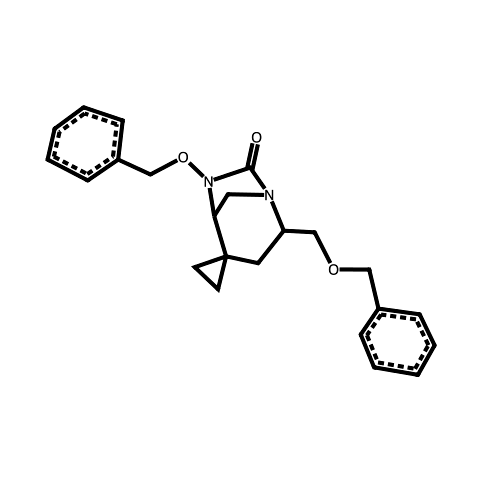 O=C1N2CC(N1OCc1ccccc1)C1(CC1)CC2COCc1ccccc1